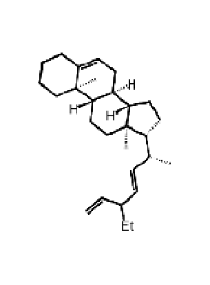 C=CC(/C=C/[C@@H](C)[C@H]1CC[C@H]2[C@@H]3CC=C4CCCC[C@]4(C)[C@H]3CC[C@]12C)CC